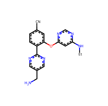 CCNc1cc(Oc2cc(C#N)ccc2-c2ncc(CN)cn2)ncn1